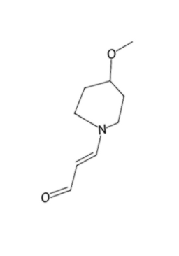 COC1CCN(C=CC=O)CC1